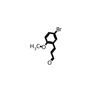 COc1ccc(Br)cc1C=CC=O